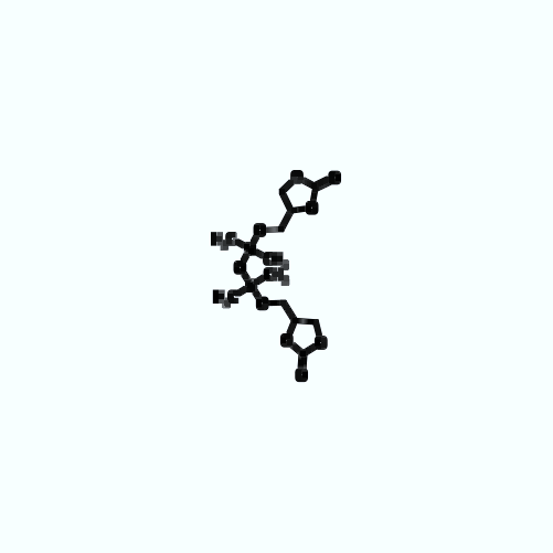 C[Si](C)(OCC1COC(=O)O1)O[Si](C)(C)OCC1COC(=O)O1